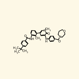 Cc1c(NC(=O)c2ccc(C(C)(C)C)cc2)cccc1-c1cc(Nc2ccc(C(=O)N3CCCOCC3)cc2)c(=O)n(C)c1